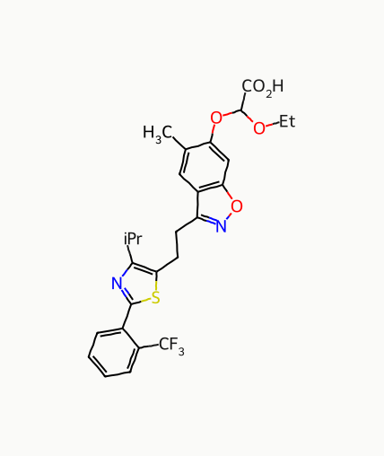 CCOC(Oc1cc2onc(CCc3sc(-c4ccccc4C(F)(F)F)nc3C(C)C)c2cc1C)C(=O)O